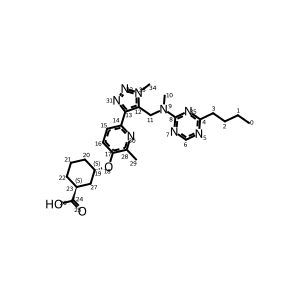 CCCCc1ncnc(N(C)Cc2c(-c3ccc(O[C@H]4CCC[C@H](C(=O)O)C4)c(C)n3)nnn2C)n1